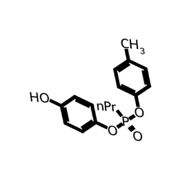 CCCP(=O)(Oc1ccc(C)cc1)Oc1ccc(O)cc1